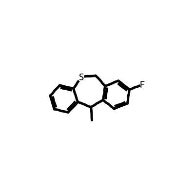 CC1c2ccc(F)cc2CSc2ccccc21